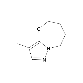 Cc1cnn2c1OCCCC2